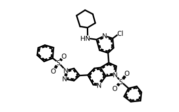 O=S(=O)(c1ccccc1)n1cc(-c2cnc3c(c2)c(-c2cc(Cl)nc(NC4CCCCC4)c2)cn3S(=O)(=O)c2ccccc2)cn1